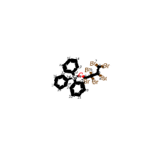 BrC(Br)C(Br)C(Br)(Br)C(Br)O[Si](c1ccccc1)(c1ccccc1)c1ccccc1